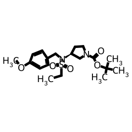 CCS(=O)(=O)N(Cc1ccc(OC)cc1)[C@H]1CCN(C(=O)OC(C)(C)C)C1